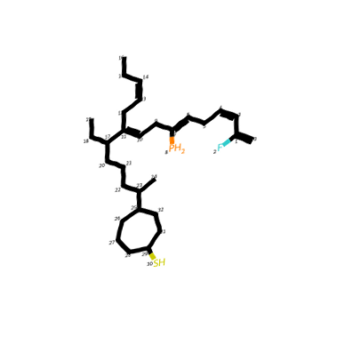 C=C(F)/C=C\C/C=C(\P)CC=C(C/C=C\CC)C(CC)CCCC(C)C1CCCC(S)CC1